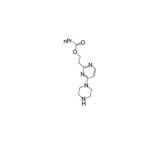 CCCC(=O)OCCc1nccc(N2CCNCC2)n1